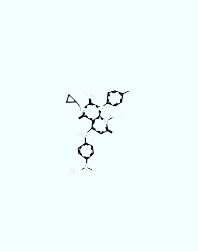 CN(C)c1ccc(Nc2cc(=O)n(C)c3c2c(=O)n(C2CC2)c(=O)n3-c2ccc(F)cc2)cc1